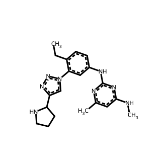 CCc1ccc(Nc2nc(C)cc(NC)n2)cc1-n1cc(C2CCCN2)nn1